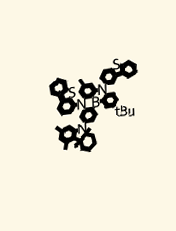 Cc1cc2c3c(c1)N(c1cccc4c1sc1ccccc14)c1cc(N4c5cc(C)cc(C)c5C5(C)CCCCC45C)ccc1B3c1cc(C(C)(C)C)ccc1N2c1ccc2sc3ccccc3c2c1